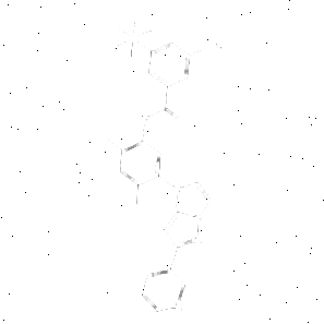 Cc1cc(F)c(NC(=O)c2cc(C#N)cc(S(F)(F)(F)(F)F)c2)cc1-n1ccn2nc(-c3cccnc3)cc12